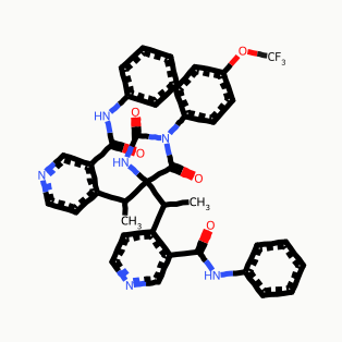 CC(c1ccncc1C(=O)Nc1ccccc1)C1(C(C)c2ccncc2C(=O)Nc2ccccc2)NC(=O)N(c2ccc(OC(F)(F)F)cc2)C1=O